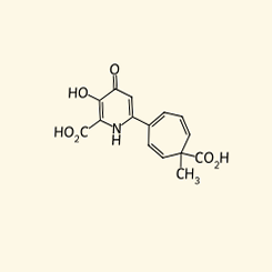 CC1(C(=O)O)C=CC=C(c2cc(=O)c(O)c(C(=O)O)[nH]2)C=C1